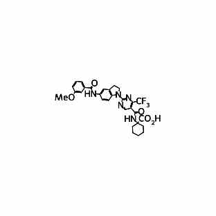 COc1cccc(C(=O)Nc2ccc3c(c2)CCN3c2ncc(C(=O)NC3(C(=O)O)CCCCC3)c(C(F)(F)F)n2)c1